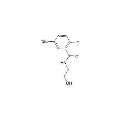 CC(C)(C)c1ccc(F)c(C(=O)NCCO)c1